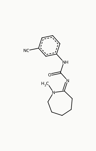 CN1CCCCC/C1=N/C(=O)Nc1cccc(C#N)c1